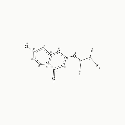 O=c1cc(OC(F)C(F)F)oc2cc(Cl)ccc12